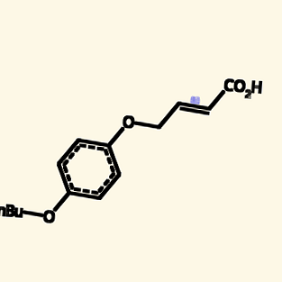 CCCCOc1ccc(OC/C=C/C(=O)O)cc1